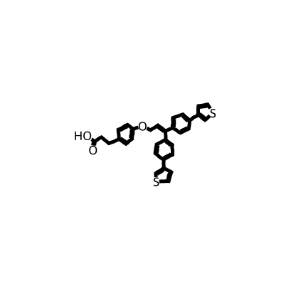 O=C(O)CCc1ccc(OCC=C(c2ccc(-c3ccsc3)cc2)c2ccc(-c3ccsc3)cc2)cc1